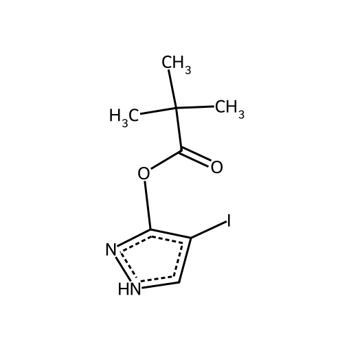 CC(C)(C)C(=O)Oc1n[nH]cc1I